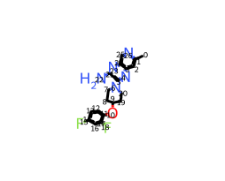 Cc1cc2nc(N3CCC(Oc4ccc(F)cc4F)CC3)c(N)nc2cn1